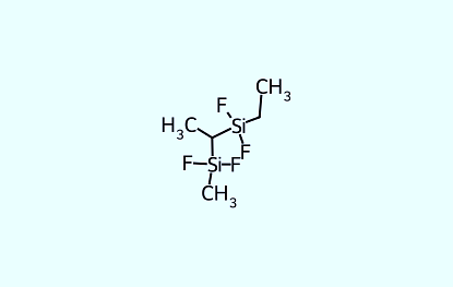 CC[Si](F)(F)C(C)[Si](C)(F)F